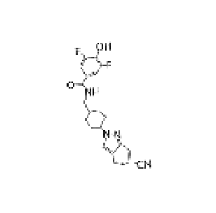 N#Cc1ccc2cn(C3CCC(CNC(=O)c4cc(F)c(O)c(F)c4)CC3)nc2c1